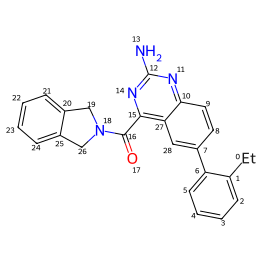 CCc1ccccc1-c1ccc2nc(N)nc(C(=O)N3Cc4ccccc4C3)c2c1